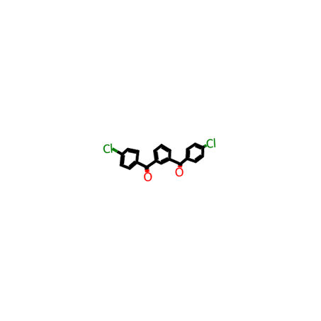 O=C(c1ccc(Cl)cc1)c1cccc(C(=O)c2ccc(Cl)cc2)c1